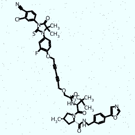 C[C@@H]1C[C@@H](C(=O)NCc2ccc(-c3cnco3)cc2)N(C(=O)[C@@H](NC(=O)COCC#CC#CCOc2ccc(N3C(=S)N(c4ccc(C#N)c(Cl)c4)C(=O)C3(C)C)cc2F)C(C)(C)C)C1